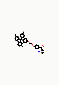 Cc1ccc(C2(c3ccc(OCCOc4ccc(C(=O)c5ccc[nH]5)cc4)cc3)c3cc(C)ccc3-c3ccc(C)cc32)cc1